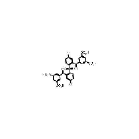 O=C(c1cc(S(=O)(=O)O)cc(S(=O)(=O)O)c1)c1cc(Cl)ccc1S(=O)(=O)c1ccc(Cl)cc1C(=O)c1cc(S(=O)(=O)O)cc(S(=O)(=O)O)c1